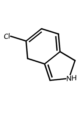 ClC1=CC=C2CNC=C2C1